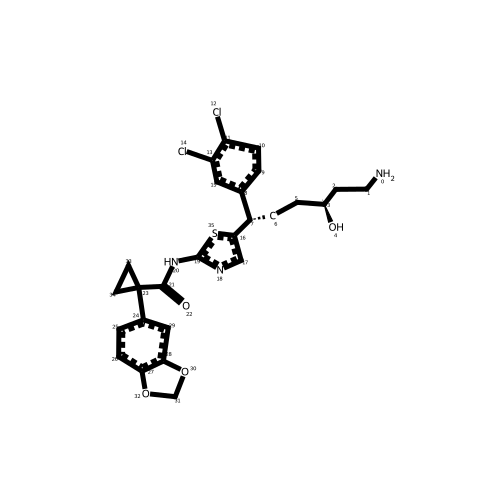 NCC[C@@H](O)CC[C@@H](c1ccc(Cl)c(Cl)c1)c1cnc(NC(=O)C2(c3ccc4c(c3)OCO4)CC2)s1